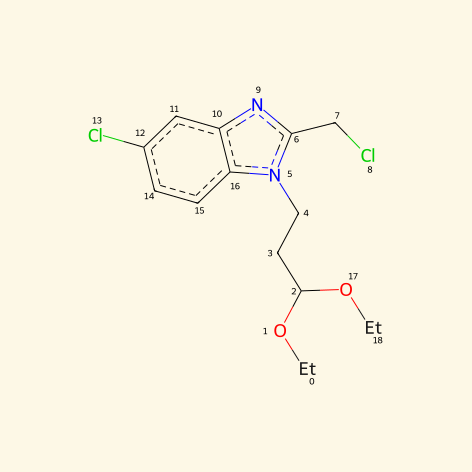 CCOC(CCn1c(CCl)nc2cc(Cl)ccc21)OCC